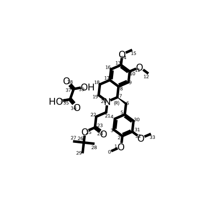 COc1ccc(C[C@@H]2c3cc(OC)c(OC)cc3CCN2CCC(=O)OC(C)(C)C)cc1OC.O=C(O)C(=O)O